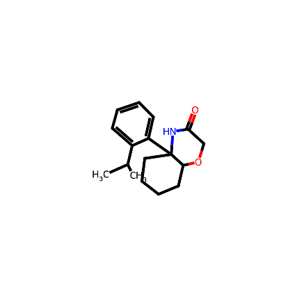 CC(C)c1ccccc1C12CCCCC1OCC(=O)N2